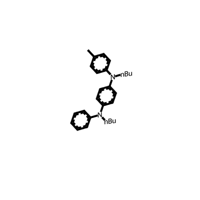 CCCCN(c1ccccc1)c1ccc(N(CCCC)c2ccc(C)cc2)cc1